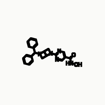 O=C(NO)c1cnc(N2CC3C2CN3C(c2ccccc2)c2ccccc2)nc1